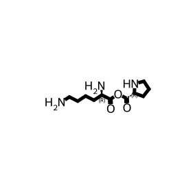 NCCCC[C@@H](N)C(=O)OC(=O)[C@H]1CCCN1